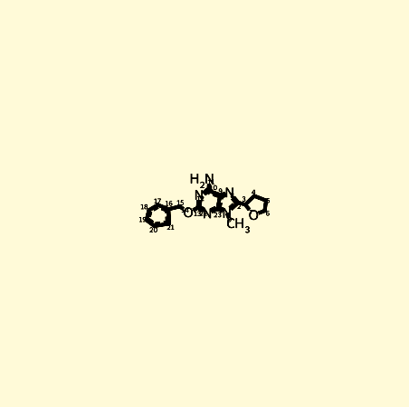 Cn1c(C2CCCO2)nc2c(N)nc(OCc3ccccc3)nc21